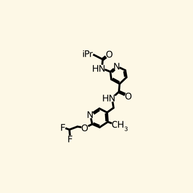 Cc1cc(OCC(F)F)ncc1CNC(=O)c1ccnc(NC(=O)C(C)C)c1